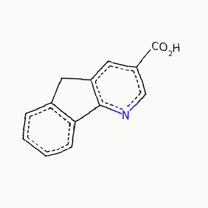 O=C(O)c1cnc2c(c1)Cc1ccccc1-2